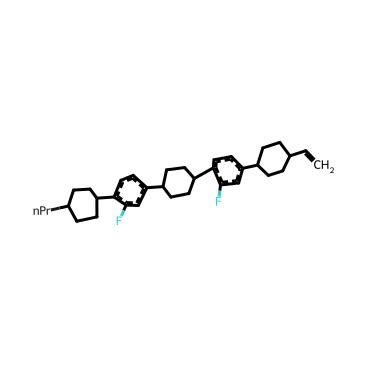 C=CC1CCC(c2ccc(C3CCC(c4ccc(C5CCC(CCC)CC5)c(F)c4)CC3)c(F)c2)CC1